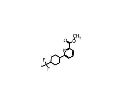 COC(=O)c1cccc(C2CCC(C(F)(F)F)CC2)n1